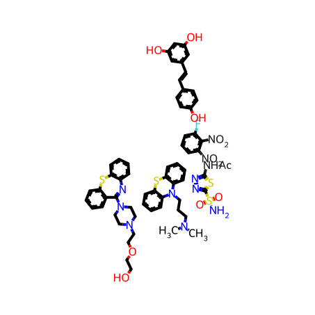 CC(=O)Nc1nnc(S(N)(=O)=O)s1.CN(C)CCCN1c2ccccc2Sc2ccccc21.O=[N+]([O-])c1cccc(F)c1[N+](=O)[O-].OCCOCCN1CCN(C2=Nc3ccccc3Sc3ccccc32)CC1.Oc1ccc(/C=C/c2cc(O)cc(O)c2)cc1